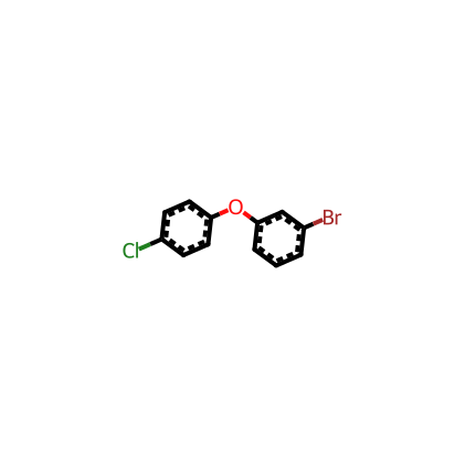 Clc1ccc(Oc2cccc(Br)c2)cc1